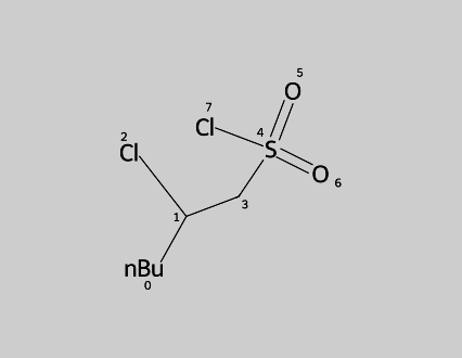 CCCCC(Cl)CS(=O)(=O)Cl